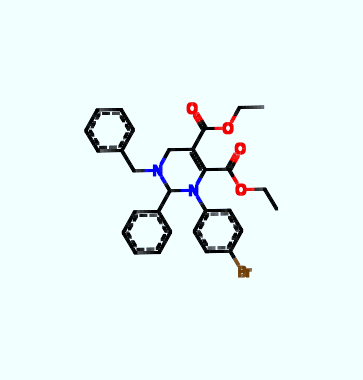 CCOC(=O)C1=C(C(=O)OCC)N(c2ccc(Br)cc2)C(c2ccccc2)N(Cc2ccccc2)C1